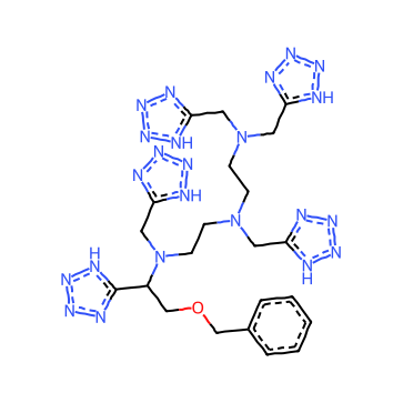 c1ccc(COCC(c2nnn[nH]2)N(CCN(CCN(Cc2nnn[nH]2)Cc2nnn[nH]2)Cc2nnn[nH]2)Cc2nnn[nH]2)cc1